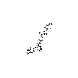 O=C(NCCN1CCC(O)C1)N1CC=C(c2cc3c(Nc4ccc5ncsc5c4)ccnc3[nH]2)CC1